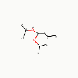 CCC[C](OC(C)C)OC(C)C